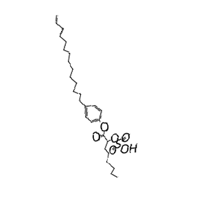 CCCCCCCCCCCCCCc1ccc(OC(=O)C(CCCCCC)OS(=O)(=O)O)cc1